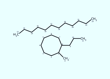 [CH2]C1CCCCCCC1CCC.[CH2]CCCCCCCCCCC